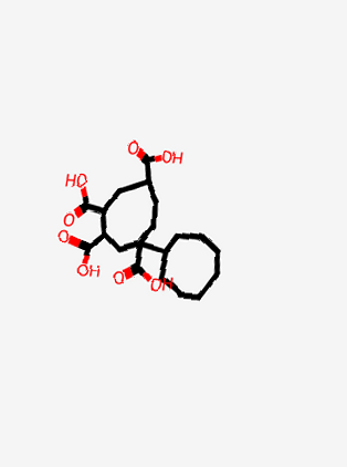 O=C(O)C1CCC(C(=O)O)(C2CCCCCCC2)CC(C(=O)O)C(C(=O)O)C1